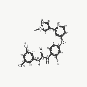 Cn1cc(-c2cc(Oc3ccc(NC(=O)Nc4cc(Cl)cc(Cl)c4)c(F)c3)ccn2)cn1